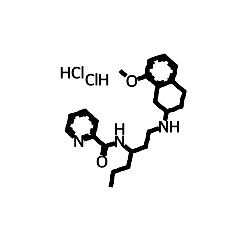 CCCC(CCNC1CCc2cccc(OC)c2C1)NC(=O)c1ccccn1.Cl.Cl